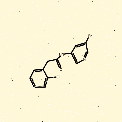 O=C(Cc1ccccc1Cl)Nc1cncc(Br)c1